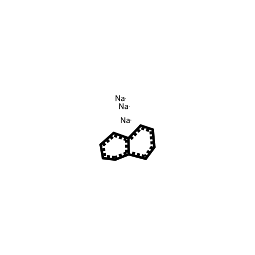 [Na].[Na].[Na].c1ccc2ccccc2c1